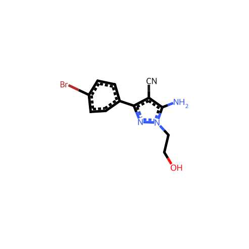 N#Cc1c(-c2ccc(Br)cc2)nn(CCO)c1N